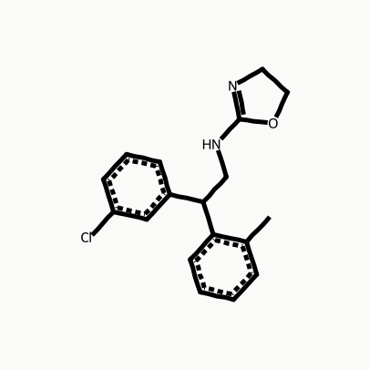 Cc1ccccc1C(CNC1=NCCO1)c1cccc(Cl)c1